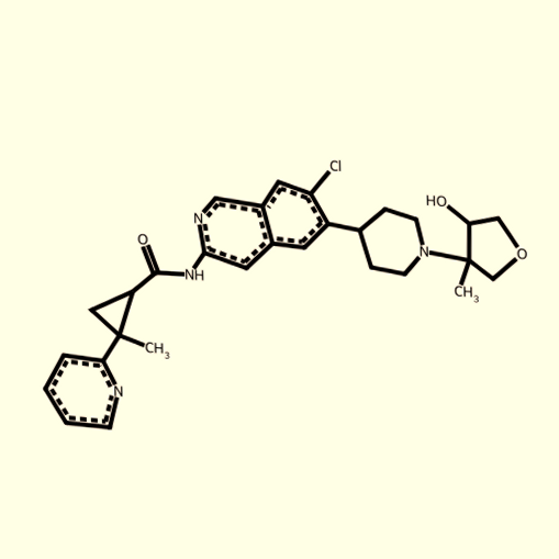 CC1(c2ccccn2)CC1C(=O)Nc1cc2cc(C3CCN(C4(C)COCC4O)CC3)c(Cl)cc2cn1